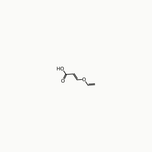 C=COC=CC(=O)O